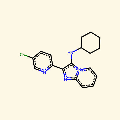 Clc1ccc(-c2nc3ccccn3c2NC2CCCCC2)nc1